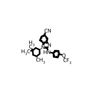 C[C@H]1C[C@@H](n2c(Nc3ccc(OC(F)(F)F)cc3)nc3cc(C#N)ccc32)CC(C)(C)C1